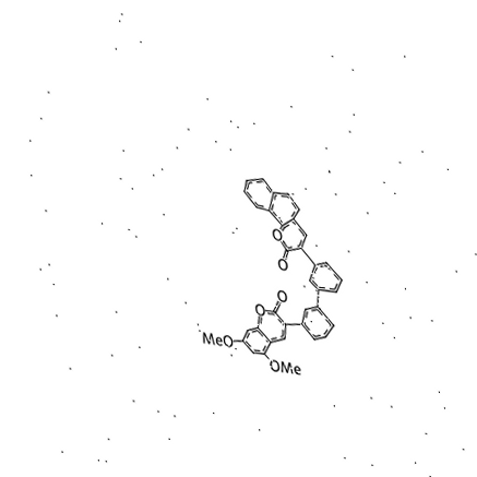 COc1cc(OC)c2cc(-c3cccc(-c4cccc(-c5cc6ccc7ccccc7c6oc5=O)c4)c3)c(=O)oc2c1